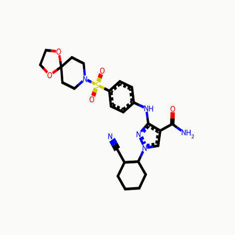 N#CC1CCCCC1n1cc(C(N)=O)c(Nc2ccc(S(=O)(=O)N3CCC4(CC3)OCCO4)cc2)n1